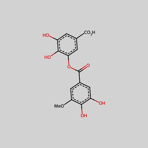 COc1cc(C(=O)Oc2cc(C(=O)O)cc(O)c2O)cc(O)c1O